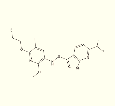 COc1nc(OCCF)c(F)cc1NSc1c[nH]c2nc(C(F)F)ccc12